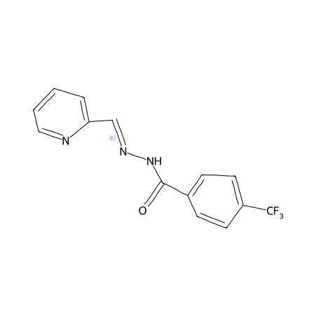 O=C(N/N=C/c1ccccn1)c1ccc(C(F)(F)F)cc1